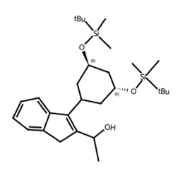 CC(O)C1=C(C2C[C@@H](O[Si](C)(C)C(C)(C)C)C[C@H](O[Si](C)(C)C(C)(C)C)C2)c2ccccc2C1